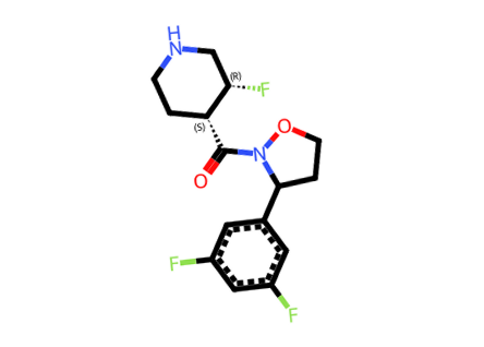 O=C([C@@H]1CCNC[C@@H]1F)N1OCCC1c1cc(F)cc(F)c1